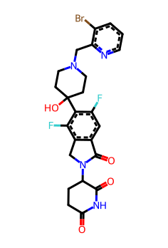 O=C1CCC(N2Cc3c(cc(F)c(C4(O)CCN(Cc5ncccc5Br)CC4)c3F)C2=O)C(=O)N1